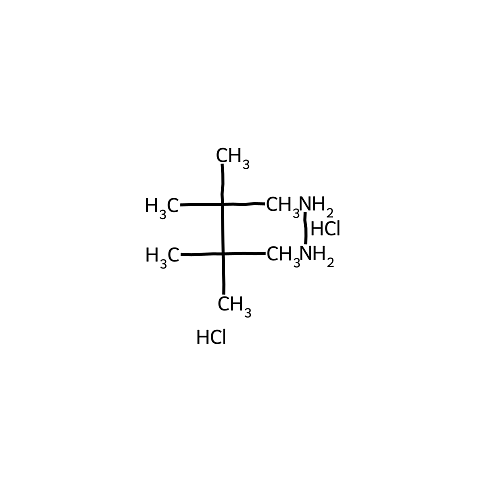 CC(C)(C)C(C)(C)C.Cl.Cl.NN